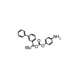 CC(C)(C)[C@H](OC(=O)Oc1ccc(N)cc1)c1cccc(-c2ccccc2)c1